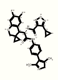 CC1=NCC(C)=C1c1ccc(NC(=O)[C@@H](NC(=O)c2nonc2C2CC2)C2c3cc(F)c(F)cc3OCC23CC3)cc1